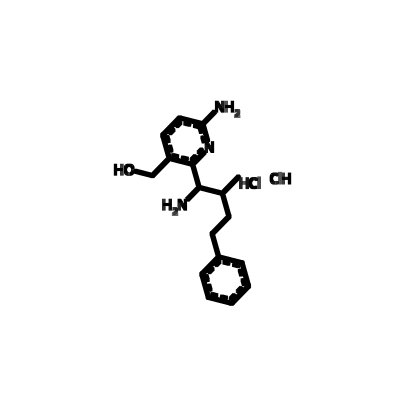 CC(CCc1ccccc1)C(N)c1nc(N)ccc1CO.Cl.Cl